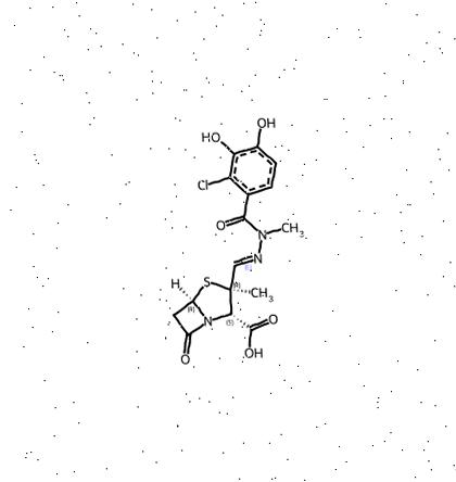 CN(/N=C/[C@]1(C)S[C@@H]2CC(=O)N2[C@H]1C(=O)O)C(=O)c1ccc(O)c(O)c1Cl